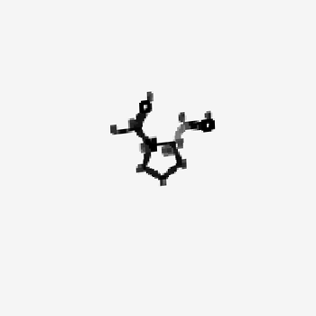 CC(=O)N1CCC[C@H]1C=O